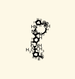 CC(C)(C(=O)Nc1ccc(-c2cnc3nc2NCCCNS(=O)(=O)c2cccc(c2)N3)cc1F)c1cccc(C(F)(F)F)c1